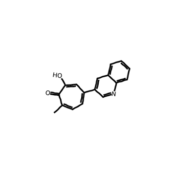 Cc1ccc(-c2cnc3ccccc3c2)cc(O)c1=O